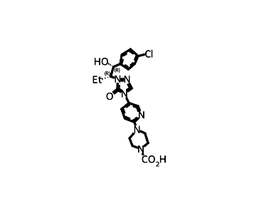 CC[C@H]([C@H](O)c1ccc(Cl)cc1)n1ncn(-c2ccc(N3CCN(C(=O)O)CC3)nc2)c1=O